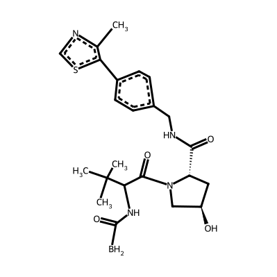 BC(=O)NC(C(=O)N1C[C@H](O)C[C@H]1C(=O)NCc1ccc(-c2scnc2C)cc1)C(C)(C)C